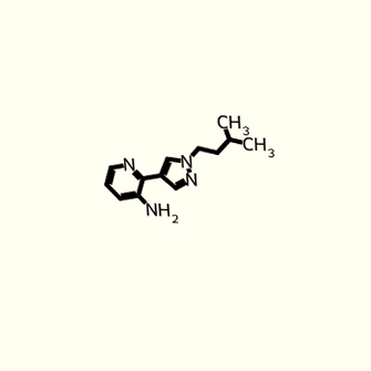 CC(C)CCn1cc(-c2ncccc2N)cn1